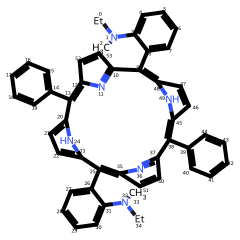 CCN(C)c1ccccc1-c1c2nc(c(-c3ccccc3)c3ccc([nH]3)c(-c3ccccc3N(C)CC)c3nc(c(-c4ccccc4)c4ccc1[nH]4)C=C3)C=C2